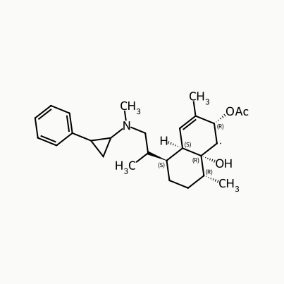 CC(=O)O[C@@H]1[CH][C@@]2(O)[C@H](C)CC[C@@H](C(C)CN(C)C3CC3c3ccccc3)[C@H]2C=C1C